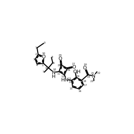 CCc1ccc(C(C)(CC)Nc2c(Nc3cccc(C(=O)N(C)C)c3O)c(=O)c2=O)o1